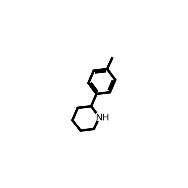 Cc1ccc(C2[CH]CCCN2)cc1